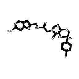 C[C@]1(c2ccc(Cl)cc2)COc2ncn(CC(=O)NCc3cc4cnc(N)cc4s3)c(=O)c2N1